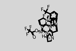 C[N+]1(c2ccn[nH]2)CC=CC=C1N1C2=C(C=CC1c1cccc(C(F)(F)F)c1)N1CC[C@@H](C1)N2C(=O)NOC(=O)C(F)(F)F